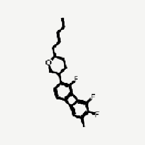 CCCCCC1CCC(c2ccc3c(c2F)-c2c-3cc(C)c(F)c2F)CO1